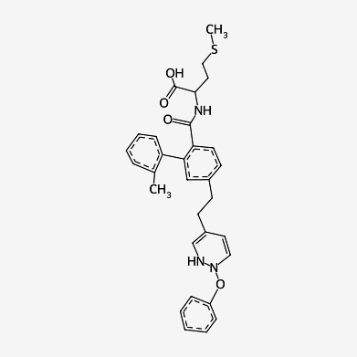 CSCCC(NC(=O)c1ccc(CCC2=CNN(Oc3ccccc3)C=C2)cc1-c1ccccc1C)C(=O)O